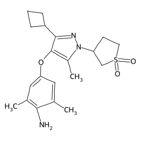 Cc1cc(Oc2c(C3CCC3)nn(C3CCS(=O)(=O)C3)c2C)cc(C)c1N